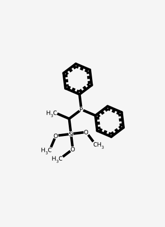 CO[Si](OC)(OC)C(C)P(c1ccccc1)c1ccccc1